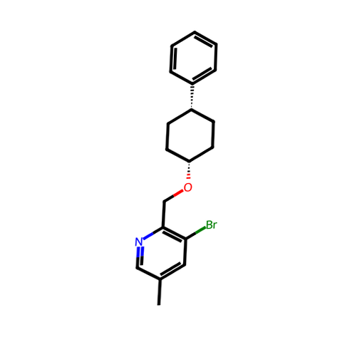 Cc1cnc(CO[C@H]2CC[C@@H](c3ccccc3)CC2)c(Br)c1